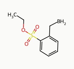 BCc1ccccc1S(=O)(=O)OCC